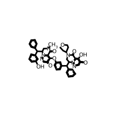 CN1CC(C(c2ccccc2)c2cccc(O)c2)n2ncc(=O)c(Oc3cccc(C(c4ccccc4)C4CN(C5CCOCC5)C(=O)c5c(O)c(=O)cnn54)c3)c2C1=O